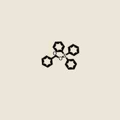 O=C(OS(c1ccccc1)(c1ccccc1)c1ccccc1)c1ccccc1